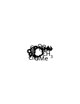 CO[C@H]1/C=C/C[C@H](C)C[S@@](=O)(NC(=O)c2cc3n(c2)CCC3)=NC(=O)c2ccc3c(c2)N(C[C@@H]2CC[C@H]21)C[C@@]1(CCCc2cc(Cl)ccc21)CO3